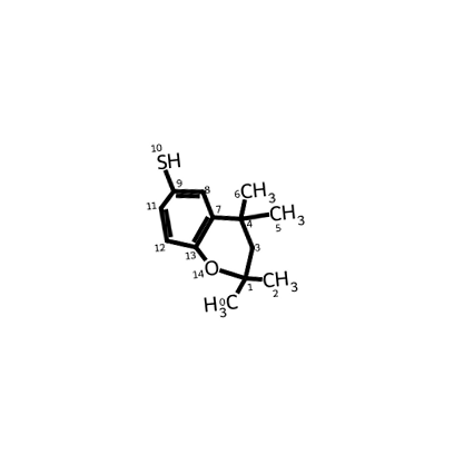 CC1(C)CC(C)(C)c2cc(S)ccc2O1